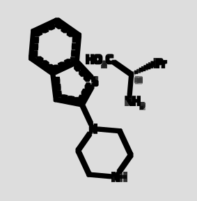 CC(C)[C@H](N)C(=O)O.c1ccc2sc(N3CCNCC3)cc2c1